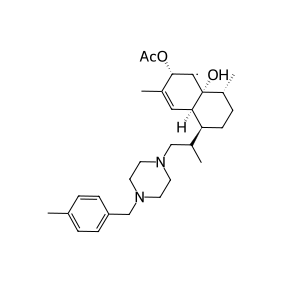 CC(=O)O[C@@H]1[CH][C@@]2(O)[C@H](C)CC[C@@H](C(C)CN3CCN(Cc4ccc(C)cc4)CC3)[C@H]2C=C1C